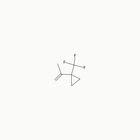 C=C(C)C1(C(F)(F)F)CC1